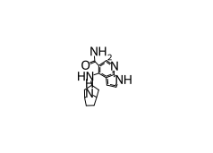 NC(=O)c1cnc2[nH]ccc2c1NC1CC2CCC(C1)N2